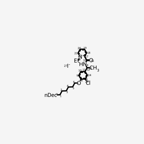 CCCCCCCCCCCCCCCCOc1ccc(C(C)NC(=O)c2cccc[n+]2CC)cc1Cl.[I-]